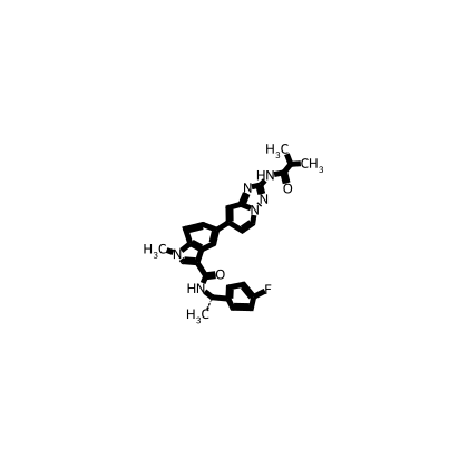 CC(C)C(=O)Nc1nc2cc(-c3ccc4c(c3)c(C(=O)N[C@@H](C)c3ccc(F)cc3)cn4C)ccn2n1